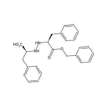 O=C(O)[C@H](Cc1ccccc1)NN[C@@H](Cc1ccccc1)C(=O)OCc1ccccc1